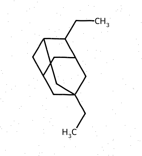 CCC1C2CC3CC1CC(CC)(C3)C2